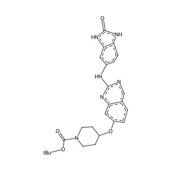 CC(C)(C)OC(=O)N1CCC(Oc2ccc3cnc(Nc4ccc5[nH]c(=O)[nH]c5c4)nc3c2)CC1